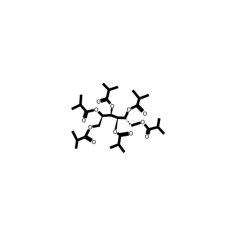 CC(C)C(=O)OC[C@@H](OC(=O)C(C)C)[C@@H](OC(=O)C(C)C)[C@H](OC(=O)C(C)C)[C@@H](COC(=O)C(C)C)OC(=O)C(C)C